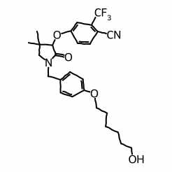 CC1(C)CN(Cc2ccc(OCCCCCCO)cc2)C(=O)C1Oc1ccc(C#N)c(C(F)(F)F)c1